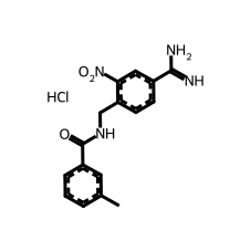 Cc1cccc(C(=O)NCc2ccc(C(=N)N)cc2[N+](=O)[O-])c1.Cl